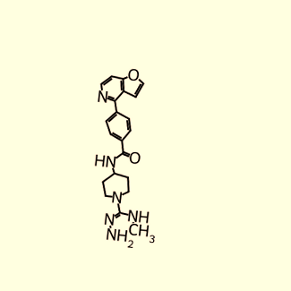 CN/C(=N\N)N1CCC(NC(=O)c2ccc(-c3nccc4occc34)cc2)CC1